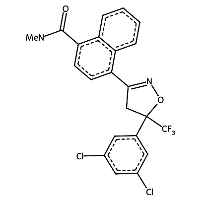 CNC(=O)c1ccc(C2=NOC(c3cc(Cl)cc(Cl)c3)(C(F)(F)F)C2)c2ccccc12